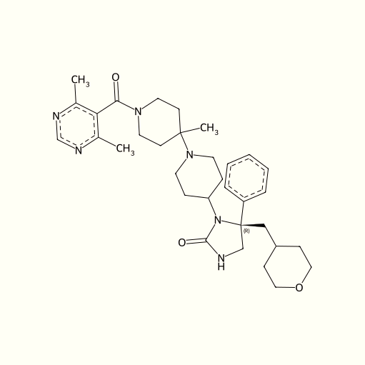 Cc1ncnc(C)c1C(=O)N1CCC(C)(N2CCC(N3C(=O)NC[C@@]3(CC3CCOCC3)c3ccccc3)CC2)CC1